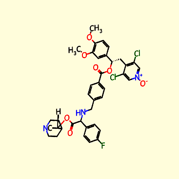 COc1ccc([C@H](Cc2c(Cl)c[n+]([O-])cc2Cl)OC(=O)c2ccc(CNC(C(=O)O[C@H]3CN4CCC3CC4)c3ccc(F)cc3)cc2)cc1OC